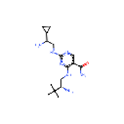 CC(C)(C)[C@H](N)CNc1nc(NCC(N)C2CC2)ncc1C(N)=O